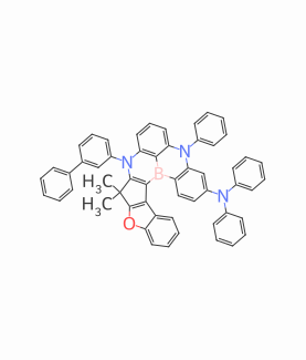 CC1(C)C2=C(B3c4ccc(N(c5ccccc5)c5ccccc5)cc4N(c4ccccc4)c4cccc(c43)N2c2cccc(-c3ccccc3)c2)c2c1oc1ccccc21